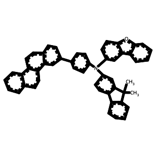 CC1(C)c2ccccc2-c2ccc(N(c3ccc(-c4ccc5ccc6c7ccccc7ccc6c5c4)cc3)c3ccc4oc5ccccc5c4c3)cc21